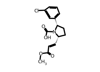 COC(=O)C=C[C@H]1CC[C@@H](c2cccc(Cl)c2)N1C(=O)O